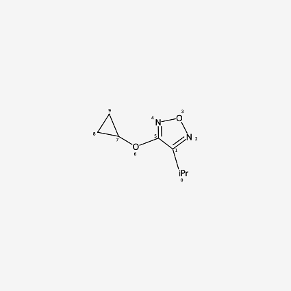 CC(C)c1nonc1OC1CC1